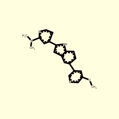 COc1cncc(-c2ccc3[nH]c(-c4ccnc(N(C)C)c4)cc3c2)c1